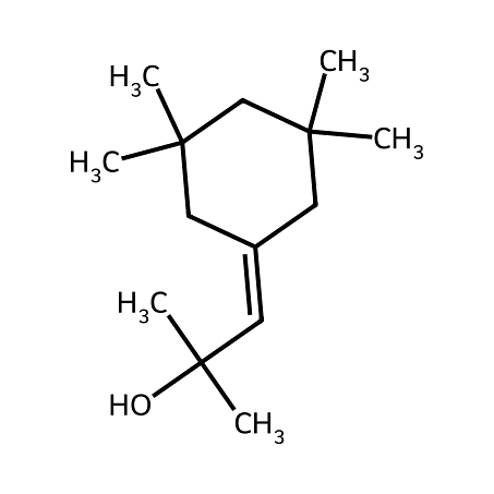 CC(C)(O)C=C1CC(C)(C)CC(C)(C)C1